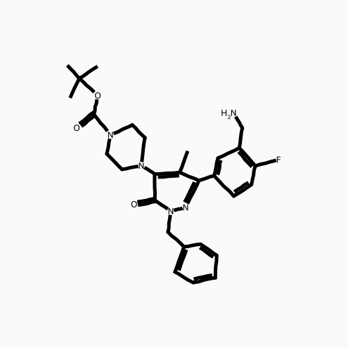 Cc1c(-c2ccc(F)c(CN)c2)nn(Cc2ccccc2)c(=O)c1N1CCN(C(=O)OC(C)(C)C)CC1